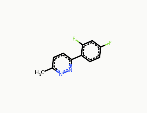 Cc1ccc(-c2ccc(F)cc2F)nn1